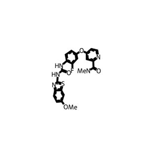 CNC(=O)c1cc(Oc2ccc(NC(=O)Nc3nc4ccc(OC)cc4s3)c(F)c2)ccn1